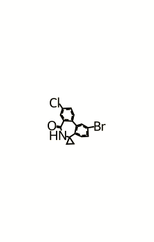 O=C1NC2(CC2)c2ccc(Br)cc2-c2ccc(Cl)cc21